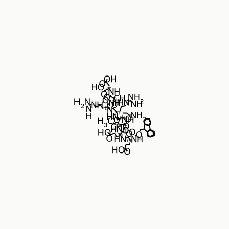 CC(C)C[C@H](NC(=O)[C@H](CCC(=O)O)NC(=O)[C@H](CCC(=O)O)NC(=O)OCC1c2ccccc2-c2ccccc21)C(=O)N[C@@H](CCC(N)=O)C(=O)N[C@@H](CCCNC(=N)N)C(=O)N[C@@H](CCCNC(=N)N)C(=O)N[C@@H](C)C(=O)N[C@@H](CC(=O)O)C(=O)O